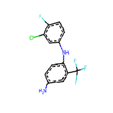 Nc1ccc(Nc2ccc(F)c(Cl)c2)c(C(F)(F)F)c1